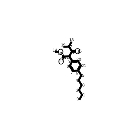 CCCCCCc1ccc(C(C(=O)OC)C(=O)C(C)C)cc1